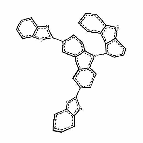 c1ccc2oc(-c3ccc4c(c3)c3cc(-c5nc6ccccc6o5)ccc3n4-c3cccc4sc5ccccc5c34)nc2c1